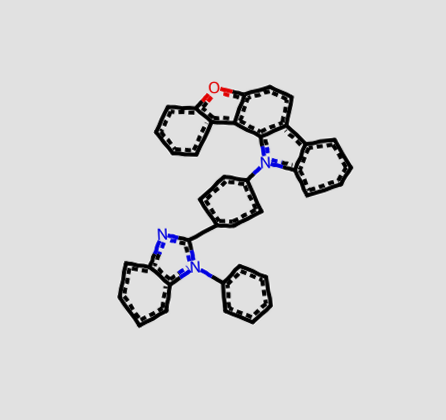 c1ccc(-n2c(-c3ccc(-n4c5ccccc5c5ccc6oc7ccccc7c6c54)cc3)nc3ccccc32)cc1